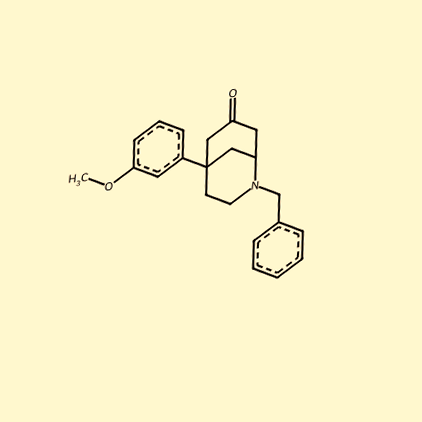 COc1cccc(C23CCN(Cc4ccccc4)C(CC(=O)C2)C3)c1